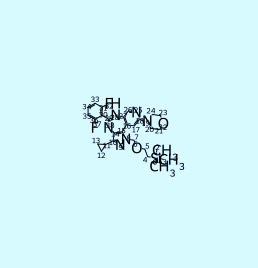 C[Si](C)(C)CCOCn1nc(C2CC2)c2c1-c1cc(N3CCOCC3)ncc1NC(c1c(F)cccc1F)=N2